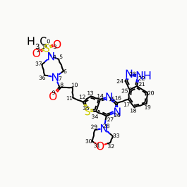 CS(=O)(=O)N1CCN(C(=O)CCc2cc3nc(-c4cccc5[nH]ncc45)nc(N4CCOCC4)c3s2)CC1